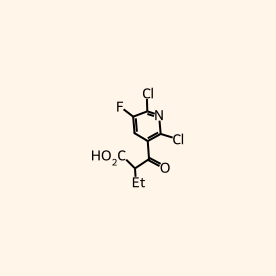 CCC(C(=O)O)C(=O)c1cc(F)c(Cl)nc1Cl